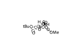 COCCOCOc1ccc(N2CCc3cc(-c4ccc(C(C)(C)C)cc4C4=CCOCC4)ccc3C2=O)cc1NS(C)(=O)=O